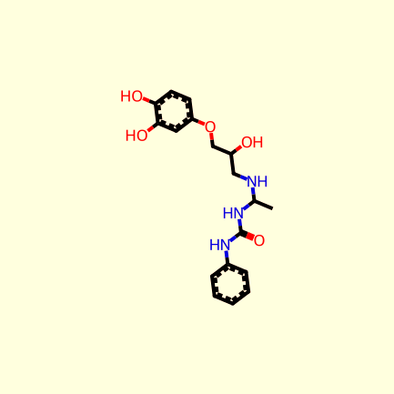 CC(NCC(O)COc1ccc(O)c(O)c1)NC(=O)Nc1ccccc1